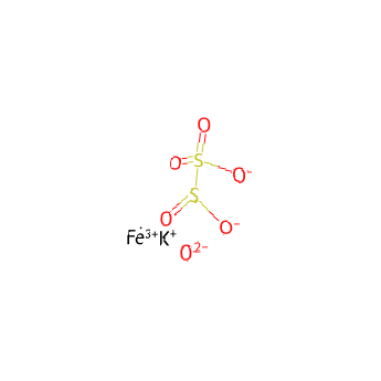 O=S([O-])S(=O)(=O)[O-].[Fe+3].[K+].[O-2]